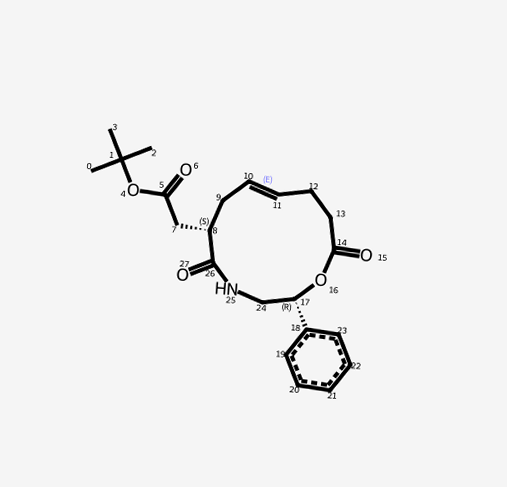 CC(C)(C)OC(=O)C[C@@H]1C/C=C/CCC(=O)O[C@H](c2ccccc2)CNC1=O